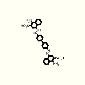 Nc1c(S(=O)(=O)O)cc(/N=N/c2ccc(-c3ccc(NNc4cc(S(=O)(=O)O)c(N)c5ccccc45)cc3)cc2)c2ccccc12